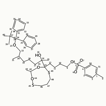 Cc1ccc(S(=O)(=O)OCCCCC2(C(C)(O)CCCC(C)CO[Si](c3ccccc3)(c3ccccc3)C(C)(C)C)OC(C)OSCCCS2)cc1